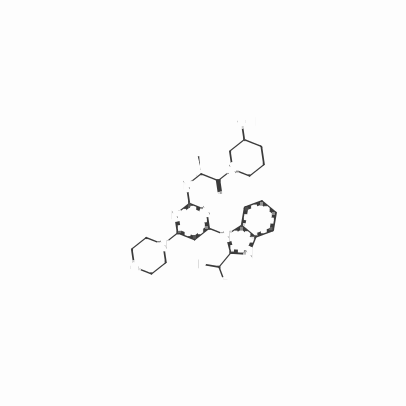 C[C@H](Nc1nc(N2CCOCC2)cc(-n2c(C(F)F)nc3ccccc32)n1)C(=O)N1CCCC(O)C1